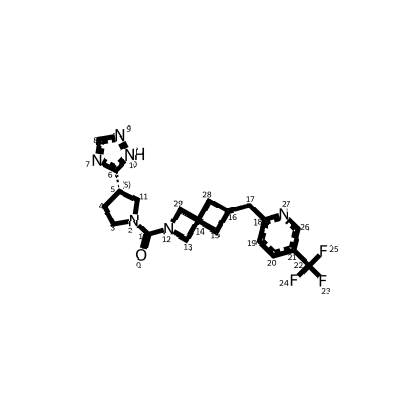 O=C(N1CC[C@H](c2ncn[nH]2)C1)N1CC2(CC(Cc3ccc(C(F)(F)F)cn3)C2)C1